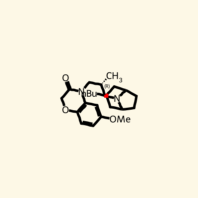 CCCCC1CC2CCC(C1)N2C[C@@H](C)CN1C(=O)COc2ccc(OC)cc21